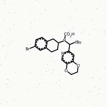 CC(C)(C)C(c1cc2c(cn1)OCCO2)N(C(=O)O)C1CCc2cc(Br)ccc2C1